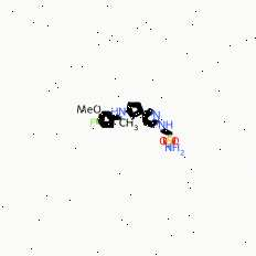 COc1cc([C@@H](C)N[C@H]2CC[C@@H](c3ccc(NCCS(N)(=O)=O)nc3)C2)ccc1F